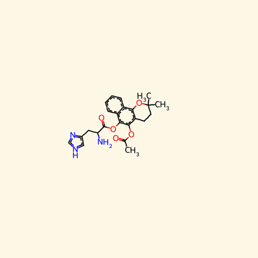 CC(=O)Oc1c2c(c3ccccc3c1OC(=O)C(N)Cc1c[nH]cn1)OC(C)(C)CC2